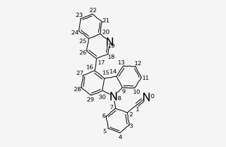 N#Cc1ccccc1-n1c2ccccc2c2c(-c3cnc4ccccc4c3)cccc21